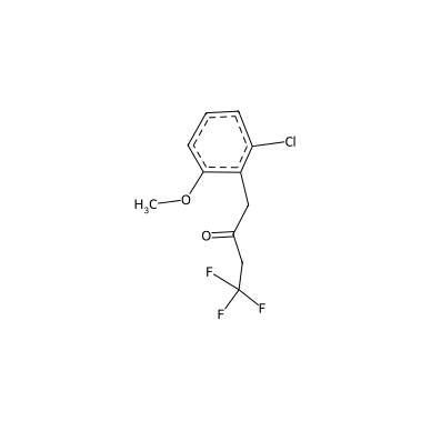 COc1cccc(Cl)c1CC(=O)CC(F)(F)F